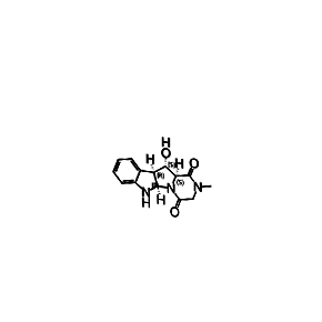 CN1CC(=O)N2[C@H](C1=O)[C@@H](O)[C@@H]1c3ccccc3N[C@@H]12